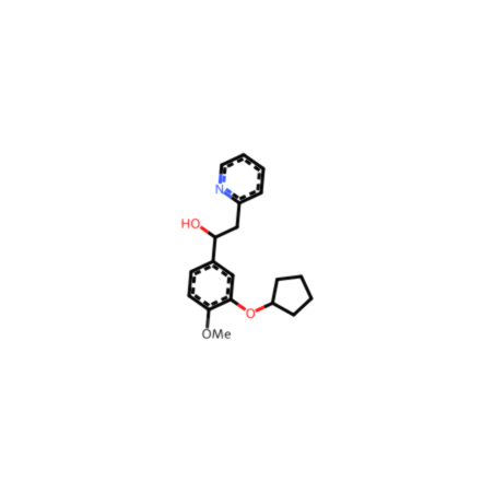 COc1ccc(C(O)Cc2ccccn2)cc1OC1CCCC1